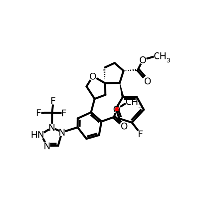 COC(=O)c1ccc(N2C=NNN2C(F)(F)F)cc1C1CO[C@]2(CC[C@H](C(=O)OC)[C@H]2c2ccc(F)cc2)C1